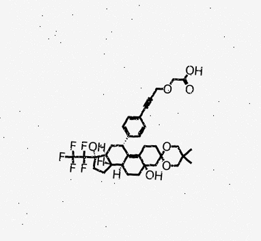 CC1(C)COC2(CCC3=C4[C@@H](CC[C@@]3(O)C2)[C@@H]2CC[C@@](O)(C(F)(F)C(F)(F)F)[C@@]2(C)C[C@@H]4c2ccc(C#CCOCC(=O)O)cc2)OC1